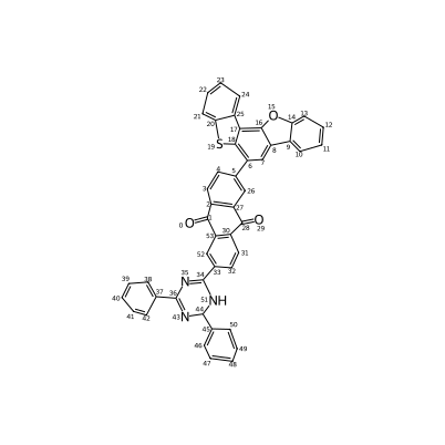 O=C1c2ccc(-c3cc4c5ccccc5oc4c4c3sc3ccccc34)cc2C(=O)c2ccc(C3=NC(c4ccccc4)=NC(c4ccccc4)N3)cc21